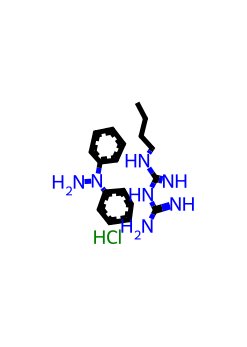 CCCCNC(=N)NC(=N)N.Cl.NN(c1ccccc1)c1ccccc1